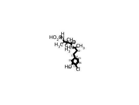 C[C@H](NC(=O)O)C(C)(C)C(=O)N[C@@H](C)CCc1ccc(Cl)c(O)c1